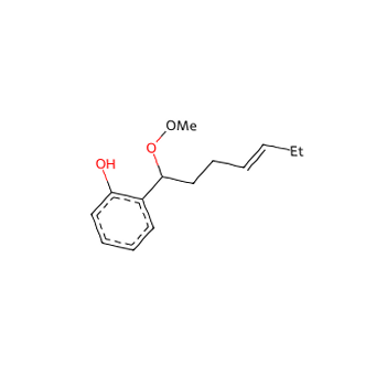 CCC=CCCC(OOC)c1ccccc1O